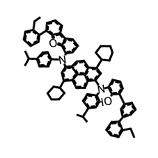 CCc1ccccc1-c1cccc(-c2cccc(N(c3ccc(C(C)C)cc3)c3cc(C4CCCCC4)c4ccc5c(N(c6ccc(C(C)C)cc6)c6cccc7c6oc6c(-c8ccccc8CC)cccc67)cc(C6CCCCC6)c6ccc3c4c65)c2O)c1